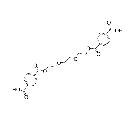 O=C(O)c1ccc(C(=O)OCCOCCOCCOC(=O)c2ccc(C(=O)O)cc2)cc1